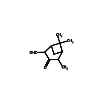 CC1C(=O)C(C=O)C2CC1C2(C)C